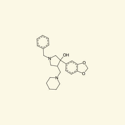 OC1(c2ccc3c(c2)OCO3)CN(Cc2ccccc2)CC1CN1CCCCC1